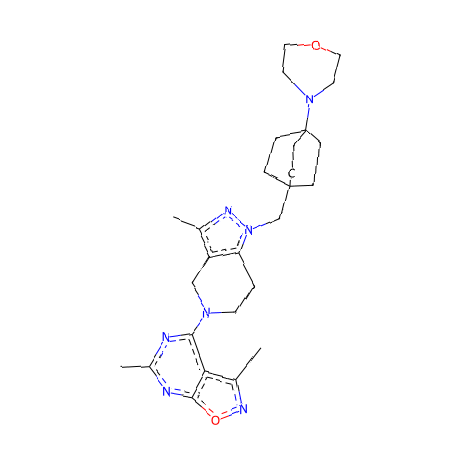 Cc1nc(N2CCc3c(c(C)nn3CC34CCC(N5CCOCC5)(CC3)CC4)C2)c2c(C)noc2n1